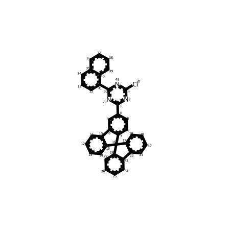 Clc1nc(-c2ccc3c(c2)-c2ccccc2C32c3ccccc3-c3ccccc32)nc(-c2cccc3ccccc23)n1